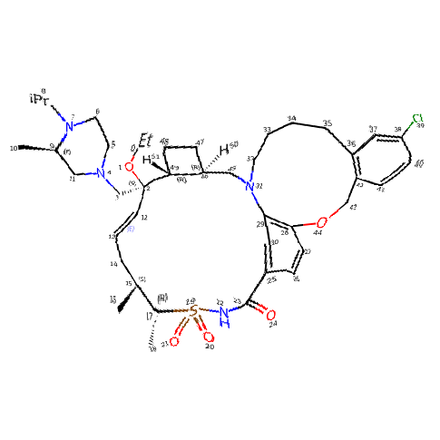 CCO[C@]1(CN2CCN(C(C)C)[C@H](C)C2)/C=C/C[C@H](C)[C@@H](C)S(=O)(=O)NC(=O)c2ccc3c(c2)N(CCCCc2cc(Cl)ccc2CO3)C[C@@H]2CC[C@H]21